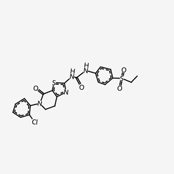 CCS(=O)(=O)c1ccc(NC(=O)Nc2nc3c(s2)C(=O)N(c2ccccc2Cl)CC3)cc1